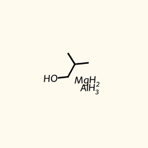 CC(C)CO.[AlH3].[MgH2]